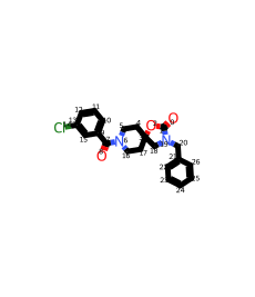 O=C1OC2(CCN(C(=O)c3cccc(Cl)c3)CC2)CN1Cc1ccccc1